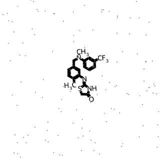 Cc1ccc(CN(C)c2cccc(C(F)(F)F)c2)cc1N=C1NC(=O)CS1